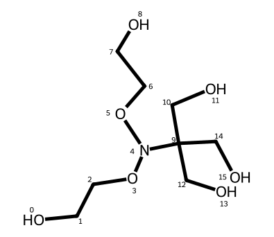 OCCON(OCCO)C(CO)(CO)CO